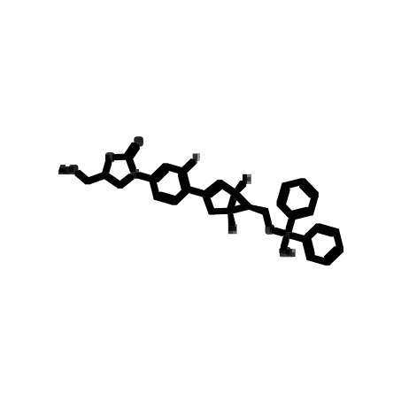 CC(=O)OCC1CN(c2ccc(C3=C[C@@H]4[C@@H](CO[Si](c5ccccc5)(c5ccccc5)C(C)(C)C)[C@@H]4C3)c(F)c2)C(=O)O1